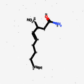 CCCCCCCCCCC=CC(CC(N)=O)C(=O)O